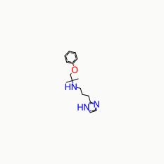 CC(C)(COc1ccccc1)NCCCc1ncc[nH]1